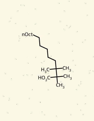 CCCCCCCCCCCCCC(C)(C)C(C)(C)C(=O)O